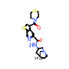 O=C(N[C@@H]1C[C@@H]2CCN(C2)C1)c1cc2c(C(=O)N3CCSCC3)csc2cn1